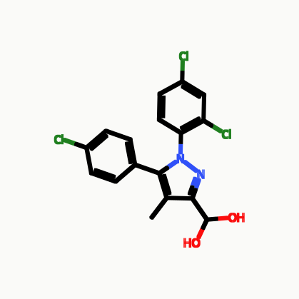 Cc1c(C(O)O)nn(-c2ccc(Cl)cc2Cl)c1-c1ccc(Cl)cc1